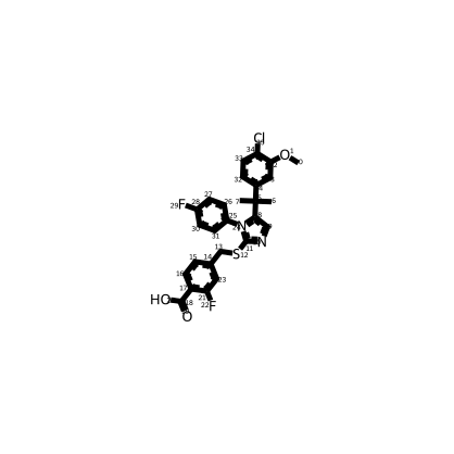 COc1cc(C(C)(C)c2cnc(SCc3ccc(C(=O)O)c(F)c3)n2-c2ccc(F)cc2)ccc1Cl